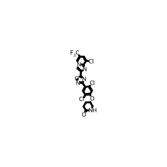 O=C1CC[C@H](Oc2cc(Cl)c(-c3noc(-c4cn5cc(C(F)(F)F)cc(Cl)c5n4)n3)cc2Cl)CN1